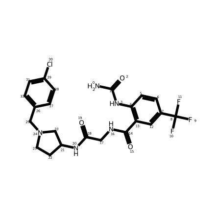 NC(=O)Nc1ccc(C(F)(F)F)cc1C(=O)NCC(=O)NC1CCN(Cc2ccc(Cl)cc2)C1